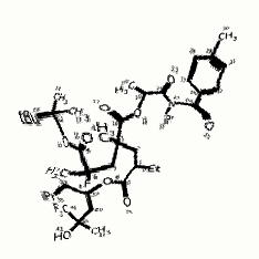 CCC(CC(C)(CC(C)(F)C(=O)OC(C)(C)C(C)(C)C)C(=O)OC(C)C(=O)N(C(=O)c1ccc(C)cc1)C(C)C)C(=O)OC(CC(C)C)CC(C)(O)C(F)(F)F